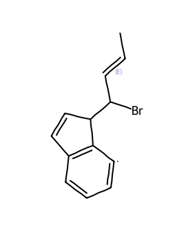 C/C=C/C(Br)C1C=Cc2ccc[c]c21